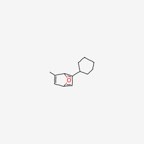 Cc1cc2cc(C3CCCCC3)c1o2